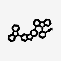 N#CC1CC=CC=C1n1c2ccccc2c2cccc(C3CC=C4Sc5ccc(N6C7=CC=CCC7c7ccccc76)cc5C4C3)c21